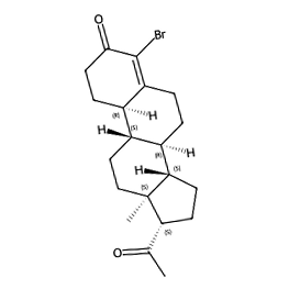 CC(=O)[C@H]1CC[C@H]2[C@@H]3CCC4=C(Br)C(=O)CC[C@@H]4[C@H]3CC[C@]12C